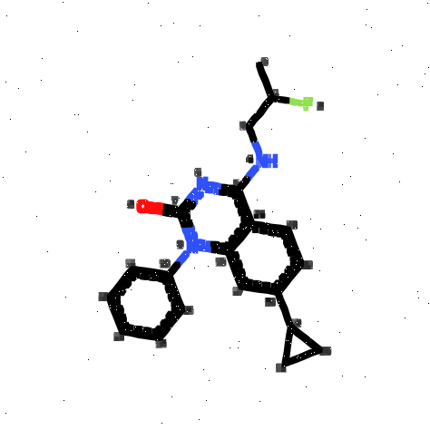 CC(F)CNc1nc(=O)n(-c2ccccc2)c2cc(C3CC3)ccc12